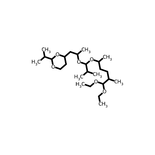 CCOC(OCC)C(C)CCC(C)OC(OC(C)CC1CCOC(C(C)C)O1)C(C)C